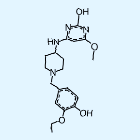 CCOc1cc(CN2CCC(Nc3cc(OC)nc(O)n3)CC2)ccc1O